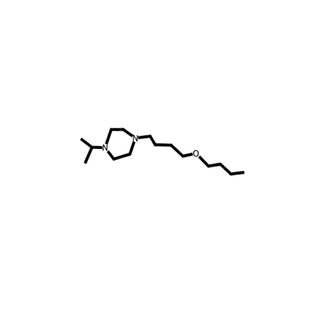 CCCCOCCCCN1CCN(C(C)C)CC1